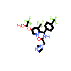 O=C(Cn1ccnc1)NC(c1ccc(C(F)(F)F)cc1)c1ncccc1C(F)(F)F.O=C(O)C(F)(F)F